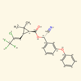 CC1(C)[C@H](/C=C(\Cl)C(F)(F)F)[C@@H]1C(=O)O[C@H](C#N)c1cccc(Oc2ccccc2)c1